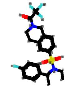 CCN(C(C)c1ccc(F)cc1)S(=O)(=O)c1ccc2c(c1)CCN(C(=O)C(F)(F)F)C2